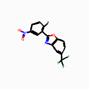 O=[N+]([O-])c1ccc(F)c(-c2nc3cc(C(F)(F)F)ccc3o2)c1